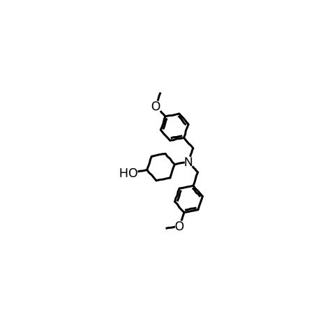 COc1ccc(CN(Cc2ccc(OC)cc2)C2CCC(O)CC2)cc1